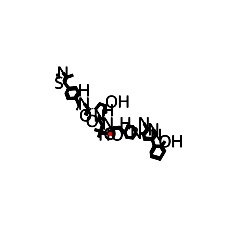 Cc1ncsc1-c1ccc([C@H](C)NC(=O)[C@@H]2C[C@@H](O)CN2C(=O)[C@@H](NC(=O)CC2(O)CCN(c3cc(-c4ccccc4O)nnc3N)CC2)C(C)(C)C)cc1